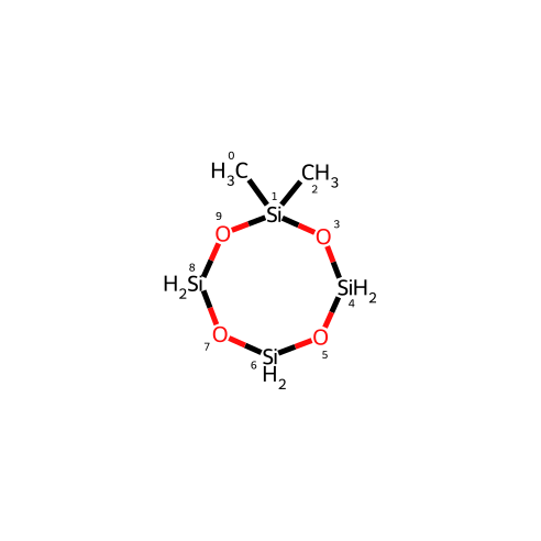 C[Si]1(C)O[SiH2]O[SiH2]O[SiH2]O1